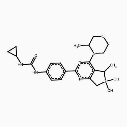 CC1COCCN1c1nc(-c2ccc(NC(=O)NC3CC3)cc2)nc2c1C(C)S(O)(O)C2